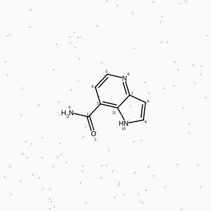 NC(=O)c1ccnc2cc[nH]c12